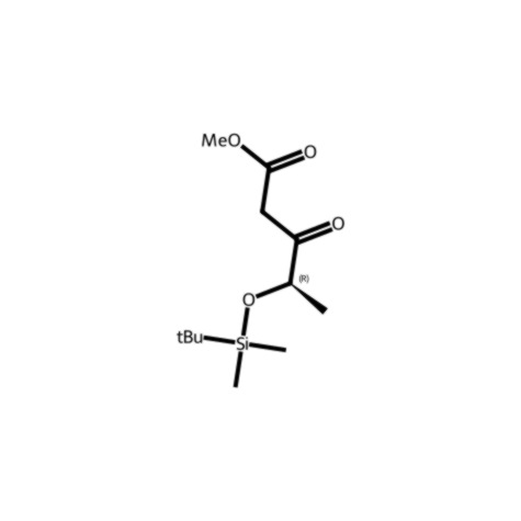 COC(=O)CC(=O)[C@@H](C)O[Si](C)(C)C(C)(C)C